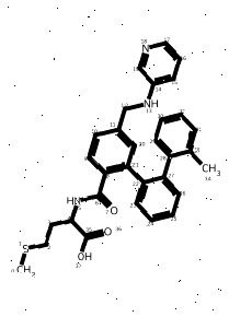 CSCCC(NC(=O)c1ccc(CNc2cccnc2)cc1-c1ccccc1-c1ccccc1C)C(=O)O